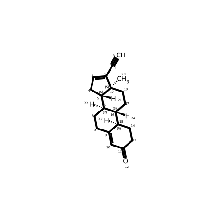 C#CC1=CC[C@H]2[C@@H]3CCC4=CC(=O)CC[C@@H]4[C@H]3CC[C@]12C